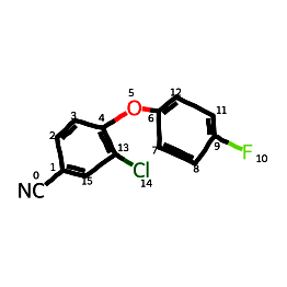 N#Cc1ccc(Oc2ccc(F)cc2)c(Cl)c1